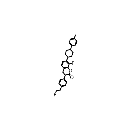 Cc1ccc(C2CCC(c3ccc4c(c3F)OC(=O)C(c3ccc(CCF)cc3)C4)CC2)cc1